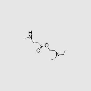 CCN(CC)CCOC(=O)CCNC